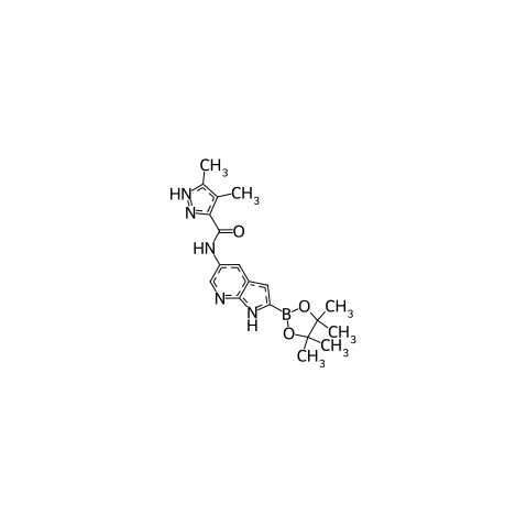 Cc1[nH]nc(C(=O)Nc2cnc3[nH]c(B4OC(C)(C)C(C)(C)O4)cc3c2)c1C